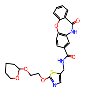 O=C(NCc1cnc(OCCOC2CCCCO2)s1)c1ccc2c(c1)NC(=O)c1ccccc1O2